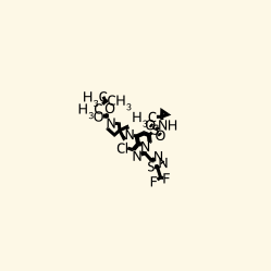 CC1(NS(=O)(=O)c2cc(N3CC4(CCN(C(=O)OC(C)(C)C)C4)C3)c3c(Cl)nc(-c4nnc(C(F)F)s4)n3c2)CC1